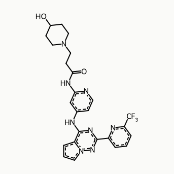 O=C(CCN1CCC(O)CC1)Nc1cc(Nc2nc(-c3cccc(C(F)(F)F)n3)nn3cccc23)ccn1